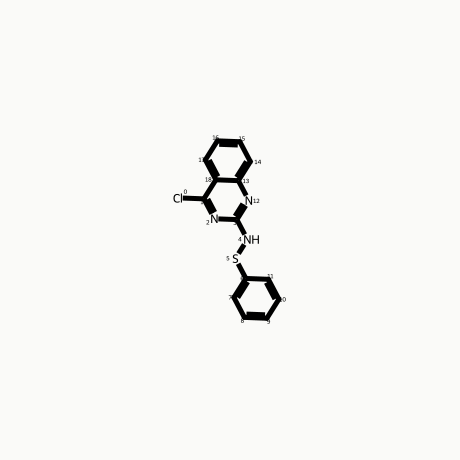 Clc1nc(NSc2ccccc2)nc2ccccc12